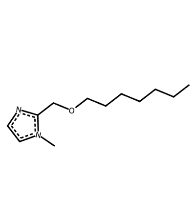 CCCCCCCOCc1nccn1C